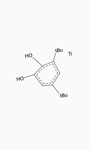 CC(C)(C)c1cc(O)c(O)c(C(C)(C)C)c1.[Ti]